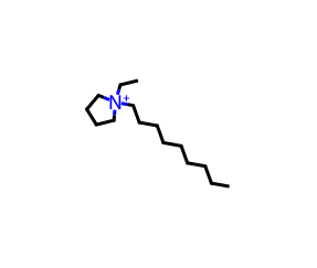 CCCCCCCCC[N+]1(CC)CCCC1